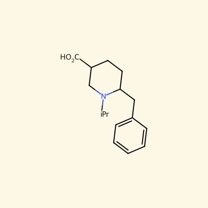 CC(C)N1CC(C(=O)O)CCC1Cc1ccccc1